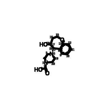 O=C(O)N1CCN([C@H]2c3ccccc3OCC[C@@H]2O)CC1